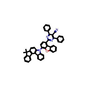 CC1(C)c2ccccc2-c2c1ccc1c2c2ccccc2n1-c1ccc(-c2nc(-c3ccccc3)c(C#N)c(-c3ccccc3)n2)c2c1oc1ccccc12